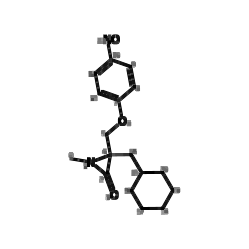 CN1C(=O)C1(COc1ccc(N=O)cc1)CC1CCCCC1